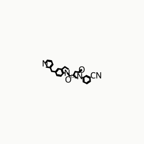 N#Cc1cccc(N2C[C@@H](C(=O)N3CCc4cc(Cc5cccnc5)ccc43)CC2=O)c1